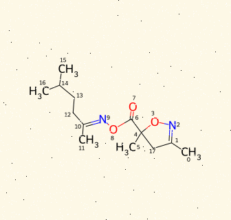 CC1=NOC(C)(C(=O)O/N=C(\C)CCC(C)C)C1